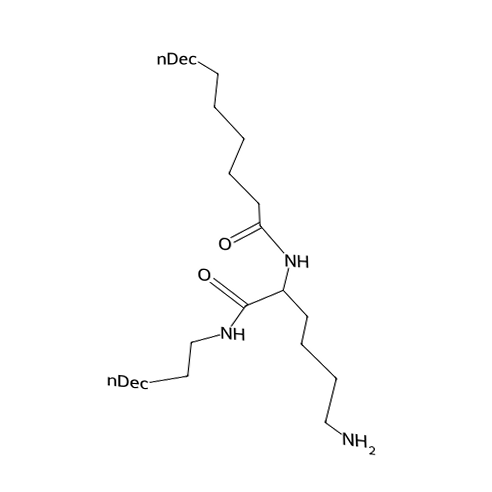 CCCCCCCCCCCCCCCC(=O)NC(CCCCN)C(=O)NCCCCCCCCCCCC